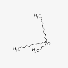 CCCCCCCCCCP(=O)(CCCC)CCCCCCCCCC